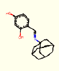 Oc1ccc(/C=N/C23CC4CC(CC(C4)C2)C3)c(O)c1